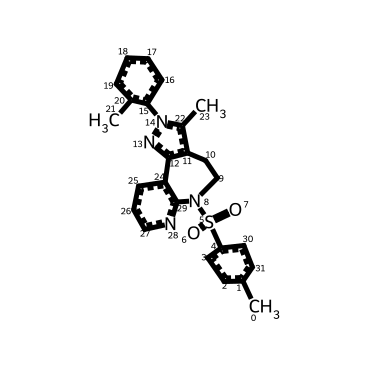 Cc1ccc(S(=O)(=O)N2CCc3c(nn(-c4ccccc4C)c3C)-c3cccnc32)cc1